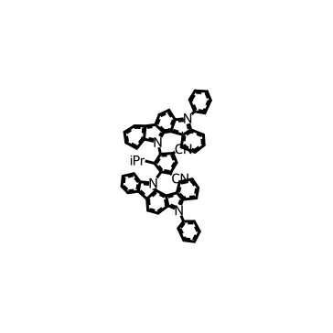 CC(C)c1c(-n2c3ccccc3c3ccc4c(c5ccccc5n4-c4ccccc4)c32)c(C#N)cc(C#N)c1-n1c2ccccc2c2ccc3c(c4ccccc4n3-c3ccccc3)c21